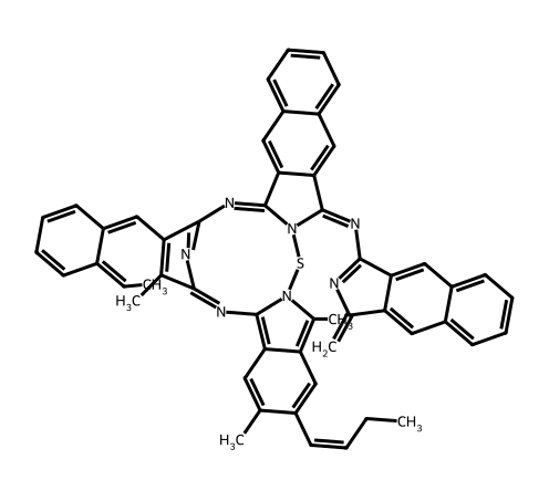 C=C1N=C(/N=c2/c3cc4ccccc4cc3c3nc4nc(nc5c6cc(C)c(/C=C\CC)cc6c(C)n5sn2-3)C(C)=C4/C=c2/cccc/c2=C/C)c2cc3ccccc3cc21